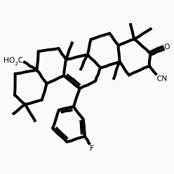 CC1(C)CCC2(C(=O)O)CCC3(C)C(=C(c4cccc(F)c4)CC4C5(C)CC(C#N)C(=O)C(C)(C)C5CCC43C)C2C1